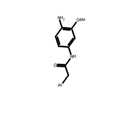 COc1cc(NC(=O)CC(C)=O)ccc1N